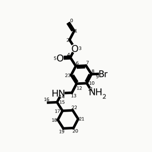 C=CCOC(=O)c1cc(Br)c(N)c(CNC(C)C2CCCCC2)c1